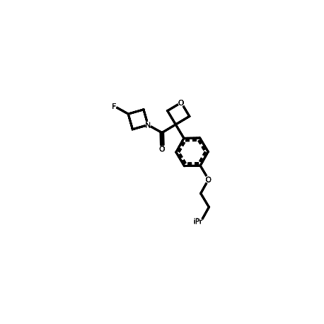 CC(C)CCOc1ccc(C2(C(=O)N3CC(F)C3)COC2)cc1